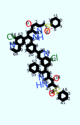 O=c1cc(C[S+]([O-])C2CCCCC2)[nH]c2nc(-c3cccc(-c4cnc5c(Cl)cc(-c6cc7c(=O)c(C[S+]([O-])c8ccccc8)c[nH]c7nc6-c6ccccc6)cc5c4)c3)c(-c3cc(Cl)c4ncccc4c3)cc12